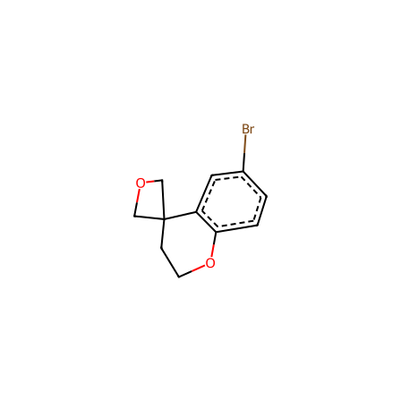 Brc1ccc2c(c1)C1(CCO2)COC1